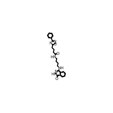 O=C(CCCc1nc(-c2ccccc2)no1)NCCCCNc1n[nH]c(=O)c2ccccc12